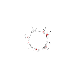 CCCC[C@H]1C(=O)N2CCOC[C@@H]2C(=O)N[C@@H](CC(=O)O)C(=O)N[C@@H](C(C)C)C(=O)N(C)[C@@H](Cc2ccccc2)C(=O)N[C@@H](CCCN)C(=O)N2CCC[C@@H]2C(=O)N[C@@H](Cc2c[nH]c3ccccc23)C(=O)N[C@@H](Cc2ccc(O)cc2)C(=O)N[C@@H](CCOC)C(=O)N[C@H](C(=O)NCC(N)=O)CSCC(=O)N[C@@H](Cc2cc(F)c(F)c(F)c2)C(=O)N(C)[C@@H](Cc2ccccc2)C(=O)N1C